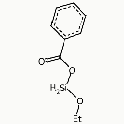 CCO[SiH2]OC(=O)c1ccccc1